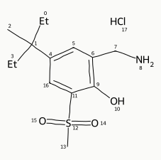 CCC(C)(CC)c1cc(CN)c(O)c(S(C)(=O)=O)c1.Cl